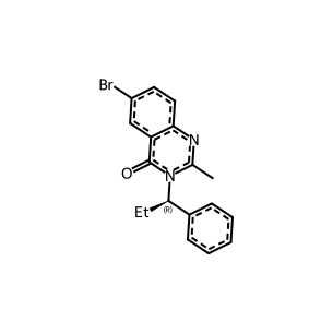 CC[C@H](c1ccccc1)n1c(C)nc2ccc(Br)cc2c1=O